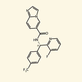 O=C(N[C@@H](c1ccc(C(F)(F)F)cc1)c1ncccc1F)c1ccc2nccn2c1